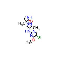 COc1nc(Nc2cn(C3(C)CCNC3=O)nc2C)ncc1Br